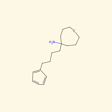 NC1(CCCCc2ccccc2)CCCCCCC1